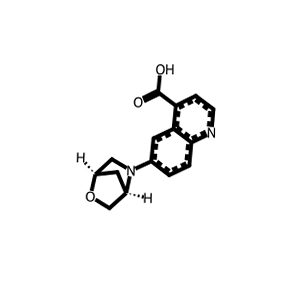 O=C(O)c1ccnc2ccc(N3C[C@H]4C[C@@H]3CO4)cc12